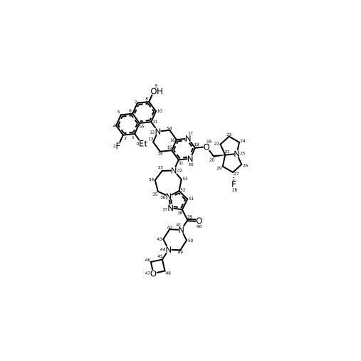 CCc1c(F)ccc2cc(O)cc(N3CCc4c(nc(OC[C@@]56CCCN5C[C@H](F)C6)nc4N4CCCn5nc(C(=O)N6CCN(C7COC7)CC6)cc5C4)C3)c12